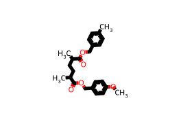 COc1ccc(COC(=O)C(C)CCC(C)C(=O)OCc2ccc(C)cc2)cc1